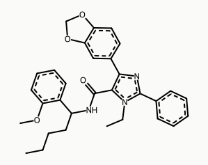 CCCCC(NC(=O)c1c(-c2ccc3c(c2)OCO3)nc(-c2ccccc2)n1CC)c1ccccc1OC